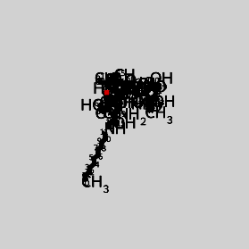 CCCCCCCCCCCCNCC(O)C1OC(OC(CO)C(O)C2OC(OC(CO)C(O)C3OC(O)(C(=O)O)CC(O)C3NC(C)=O)(C(=O)O)CC(OC)C2NC(=O)CC)(C(=O)O)CC(O)C1N